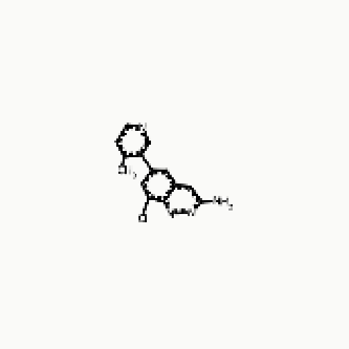 Cc1ccncc1-c1cc(Cl)c2nnc(N)cc2c1